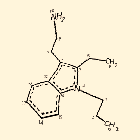 CCCn1c(CC)c(CCN)c2ccccc21